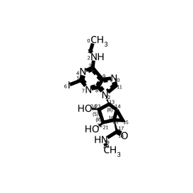 CCNc1nc(I)nc2c1ncn2[C@@H]1C2C[C@]2(C(=O)NC)[C@@H](O)[C@H]1O